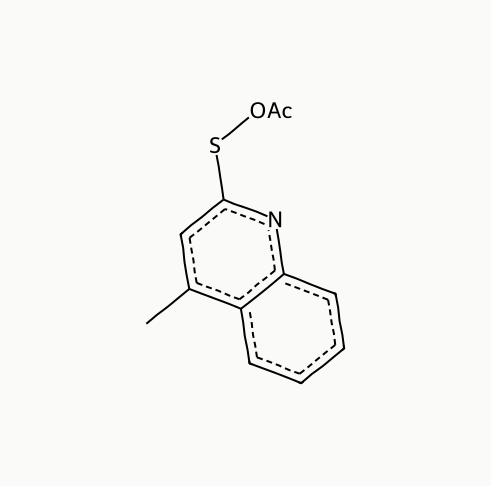 CC(=O)OSc1cc(C)c2ccccc2n1